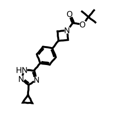 CC(C)(C)OC(=O)N1CC(c2ccc(-c3nc(C4CC4)n[nH]3)cc2)C1